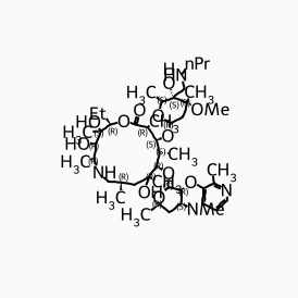 CCCNC[C@]1(O)[C@H](C)O[C@@H](O[C@H]2[C@H](C)[C@@H](O[C@@H]3O[C@H](C)C[C@H](NC)[C@H]3Oc3cccnc3C)[C@](C)(O)C[C@@H](C)CN[C@H](C)[C@@H](O)[C@](C)(O)[C@@H](CC)OC(=O)[C@@H]2C)C[C@@]1(C)OC